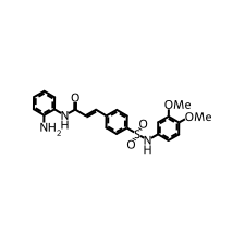 COc1ccc(NS(=O)(=O)c2ccc(/C=C/C(=O)Nc3ccccc3N)cc2)cc1OC